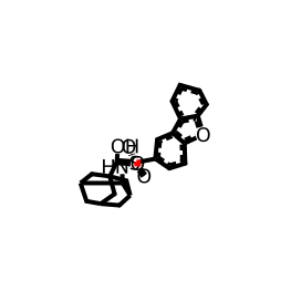 O=C(O)C12CC3CC(C1)C(NS(=O)(=O)c1ccc4oc5ccccc5c4c1)C(C3)C2